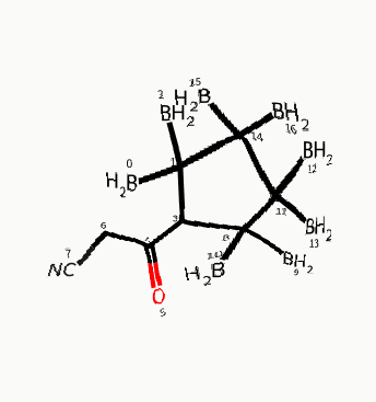 BC1(B)C(C(=O)CC#N)C(B)(B)C(B)(B)C1(B)B